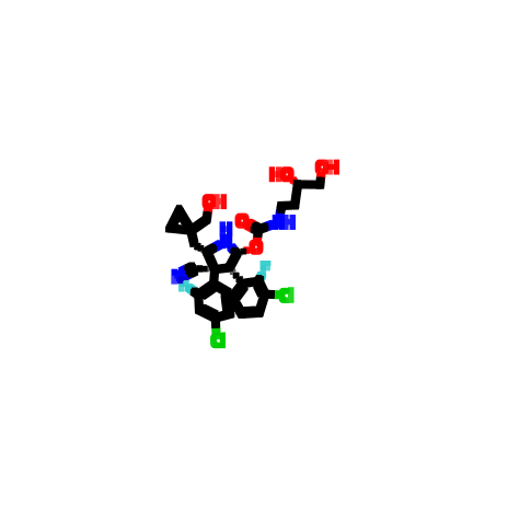 N#C[C@]1(c2ccc(Cl)cc2F)[C@H](CC2(CO)CC2)N[C@H](OC(=O)NCC[C@H](O)CO)[C@@H]1c1cccc(Cl)c1F